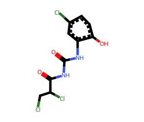 O=C(NC(=O)C(Cl)CCl)Nc1cc(Cl)ccc1O